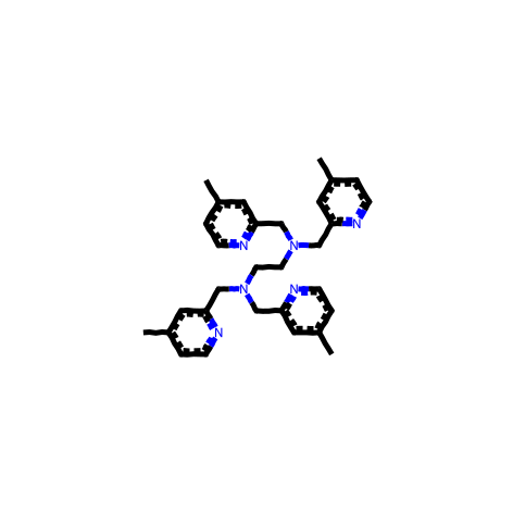 Cc1ccnc(CN(CCN(Cc2cc(C)ccn2)Cc2cc(C)ccn2)Cc2cc(C)ccn2)c1